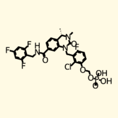 C[C@H]1c2ccc(C(=O)NCc3c(F)cc(F)cc3F)cc2N(Cc2c(F)ccc(OCOP(=O)(O)O)c2Cl)C(=O)N1C